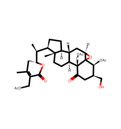 CC(=O)OCC1=C(C)C[C@H]([C@@H](C)[C@H]2CC[C@H]3[C@@H]4C[C@H]5O[C@]56[C@@H](OC(C)=O)[C@@H](CO)CC(=O)[C@]6(COC(C)=O)[C@H]4CC[C@]23C)OC1=O